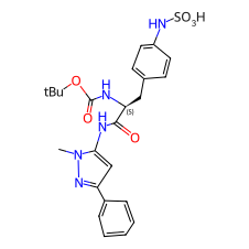 Cn1nc(-c2ccccc2)cc1NC(=O)[C@H](Cc1ccc(NS(=O)(=O)O)cc1)NC(=O)OC(C)(C)C